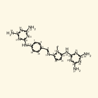 Cn1c(/N=C/c2ccc(Nc3nc(N)nc(N)n3)cc2)ccc1Nc1nc(N)nc(N)n1